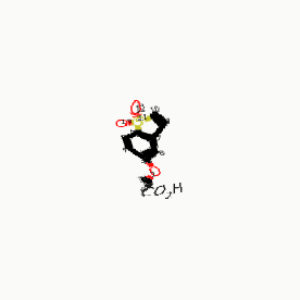 O=C(O)COc1ccc2c(c1)C=CS2(=O)=O